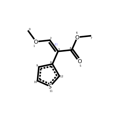 CO/C=C(/C(=O)OC)c1ccsc1